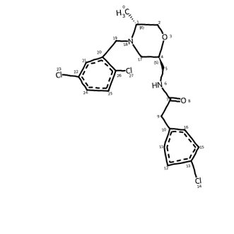 C[C@@H]1CO[C@@H](CNC(=O)Cc2ccc(Cl)cc2)CN1Cc1cc(Cl)ccc1Cl